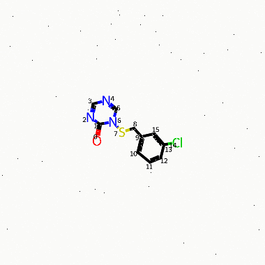 O=c1ncncn1SCc1cccc(Cl)c1